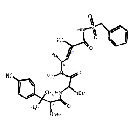 CN[C@H](C(=O)NC(C(=O)N(C)[C@H](/C=C(\C)C(=O)NS(=O)(=O)Cc1ccccc1)C(C)C)C(C)(C)C)C(C)(C)c1ccc(C#N)cc1